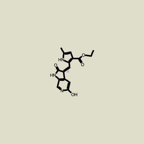 CCOC(=O)c1cc(C)[nH]c1/C=C1\C(=O)Nc2cnc(O)cc21